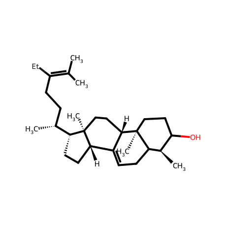 CCC(CC[C@@H](C)[C@H]1CC[C@H]2C3=CCC4[C@H](C)C(O)CC[C@]4(C)[C@H]3CC[C@]12C)=C(C)C